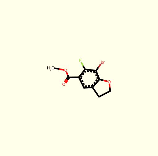 COC(=O)c1cc2c(c(Br)c1F)OCC2